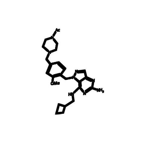 COc1cc(CN2CCN(C(C)=O)CC2)ccc1Cn1ncc2nc(N)nc(NCC3CCC3)c21